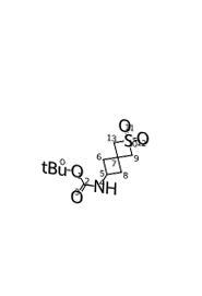 CC(C)(C)OC(=O)NC1CC2(C1)CS(=O)(=O)C2